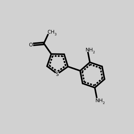 CC(=O)c1csc(-c2cc(N)ccc2N)c1